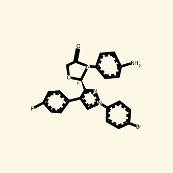 Nc1ccc(N2C(=O)CO[C@@H]2c2nn(-c3ccc(Br)cc3)cc2-c2ccc(F)cc2)cc1